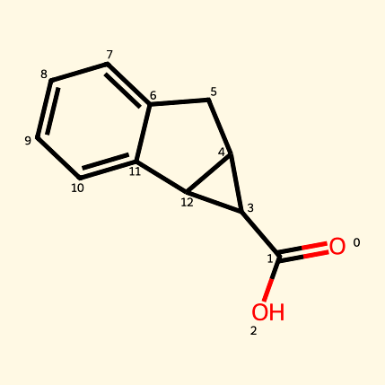 O=C(O)C1C2Cc3ccccc3C21